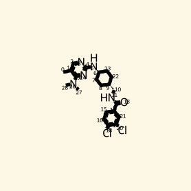 Cc1cnc(N[C@H]2CC[C@@H](CNC(=O)c3ccc(Cl)c(Cl)c3)CC2)nc1N(C)C